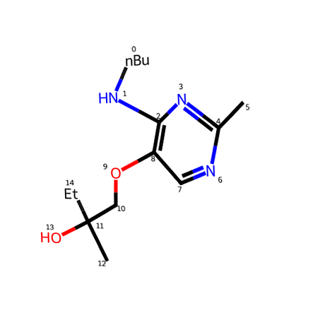 CCCCNc1nc(C)ncc1OCC(C)(O)CC